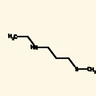 CCNCCCSC